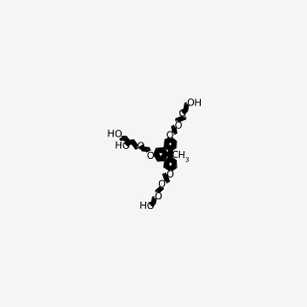 CC(c1ccc(OCCOCCOCCO)cc1)(c1ccc(OCCOCCOCCO)cc1)c1ccc(OCCOCCC(O)CCO)cc1